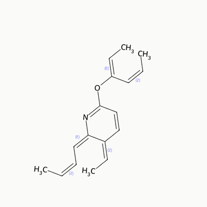 C\C=C/C=c1/nc(OC(/C=C\C)=C/C)cc/c1=C/C